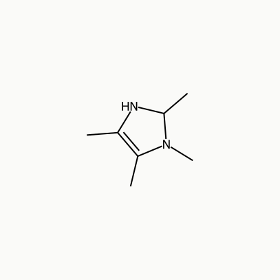 CC1=C(C)N(C)C(C)N1